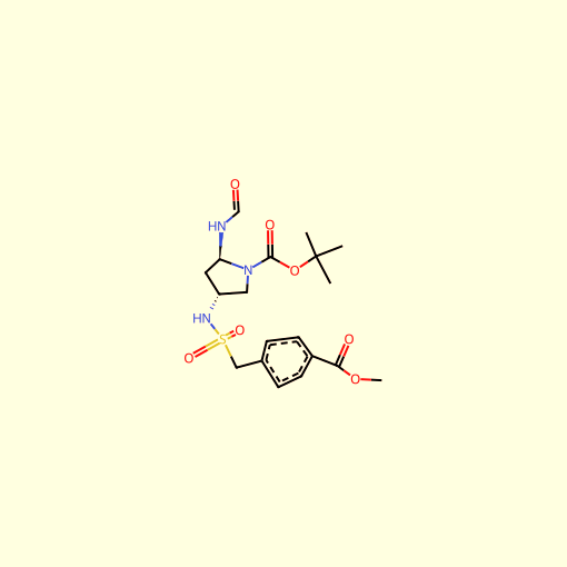 COC(=O)c1ccc(CS(=O)(=O)N[C@@H]2C[C@@H](NC=O)N(C(=O)OC(C)(C)C)C2)cc1